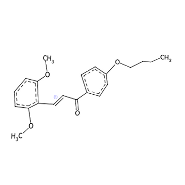 CCCCOc1ccc(C(=O)/C=C/c2c(OC)cccc2OC)cc1